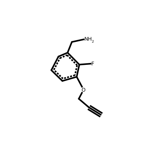 C#CCOc1cccc(CN)c1F